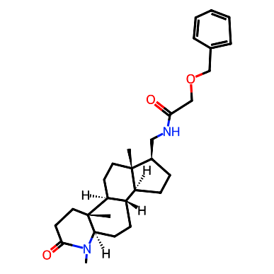 CN1C(=O)CC[C@]2(C)[C@H]3CC[C@]4(C)[C@@H](CNC(=O)COCc5ccccc5)CC[C@H]4[C@@H]3CC[C@@H]12